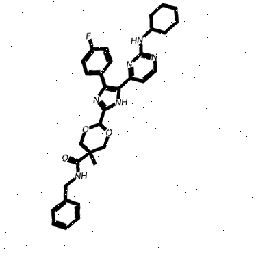 CC1(C(=O)NCc2ccccc2)COC(c2nc(-c3ccc(F)cc3)c(-c3ccnc(NC4CCCCC4)n3)[nH]2)OC1